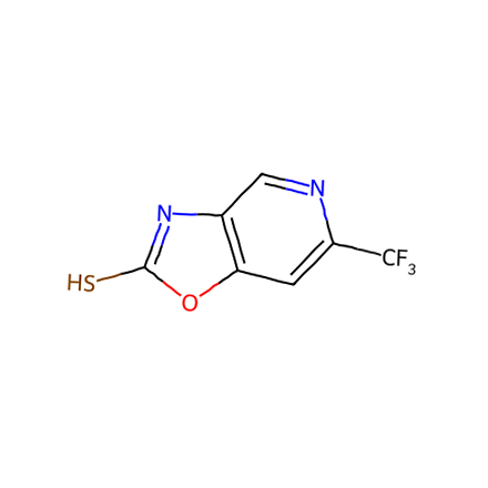 FC(F)(F)c1cc2oc(S)nc2cn1